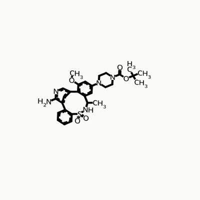 COc1cc(N2CCN(C(=O)OC(C)(C)C)CC2)cc2c1-c1cnc(N)c(c1)-c1ccccc1S(=O)(=O)NC2C